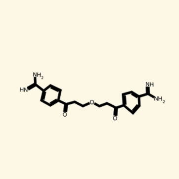 N=C(N)c1ccc(C(=O)CCOCCC(=O)c2ccc(C(=N)N)cc2)cc1